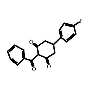 O=C1CC(c2ccc(F)cc2)CC(=O)C1C(=O)c1ccccc1